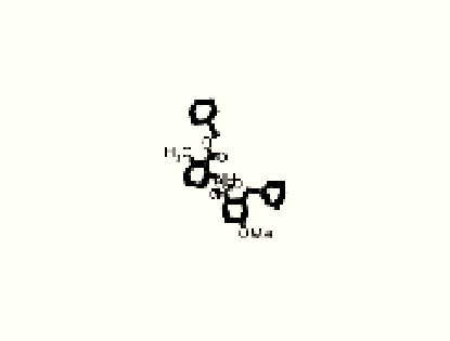 COc1ccc(S(=O)(=O)Nc2cccc(C)c2C(=O)OCc2ccccc2)c(Cc2ccccc2)c1